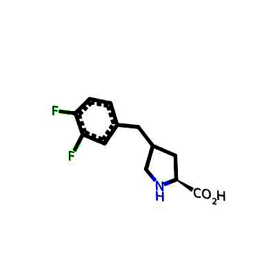 O=C(O)[C@@H]1CC(Cc2ccc(F)c(F)c2)CN1